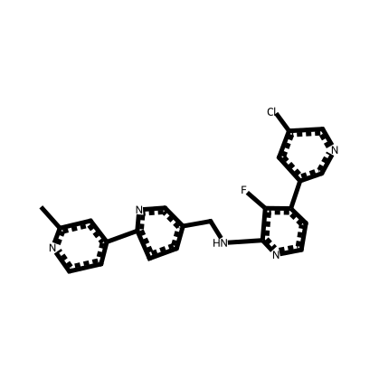 Cc1cc(-c2ccc(CNc3nccc(-c4cncc(Cl)c4)c3F)cn2)ccn1